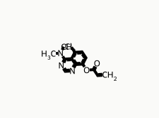 C=CC(=O)Oc1ccc(Cl)c2c(N(C)C)ncnc12